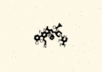 Cc1nc2c(F)c(-c3cccc(Cl)c3Cl)c(CCC#N)cc2c2c1cc(C1C3CC(CN(c4nccc(C(F)F)c4F)C3)N1C(=O)C1CC1)n2C1C2CNC1C2